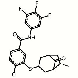 C[C@H]1CC2CC(Sc3cc(C(=O)Nc4cc(F)c(F)c(F)c4)ccc3Cl)CC1C2=O